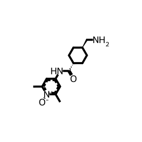 Cc1cc(NC(=O)[C@H]2CC[C@H](CN)CC2)cc(C)[n+]1[O-]